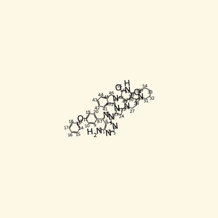 Nc1ncnc2c1c(-c1ccc(Oc3ccccc3)cc1)nn2C1CC(N2CCC(N3CCCCC3)CC2)N1C1c2ccccc2CN1C1CCC(=O)NC1=O